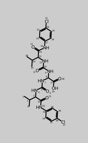 CC(C)C(NC(=O)NC(NC(=O)NC(C(=O)Nc1ccc(Cl)cc1)C(C)C)C(=O)O)C(=O)Nc1ccc(Cl)cc1